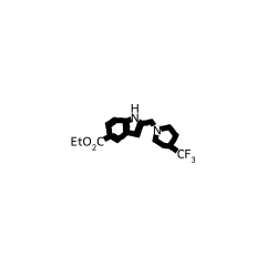 CCOC(=O)c1ccc2[nH]c(CN3CCC(C(F)(F)F)CC3)cc2c1